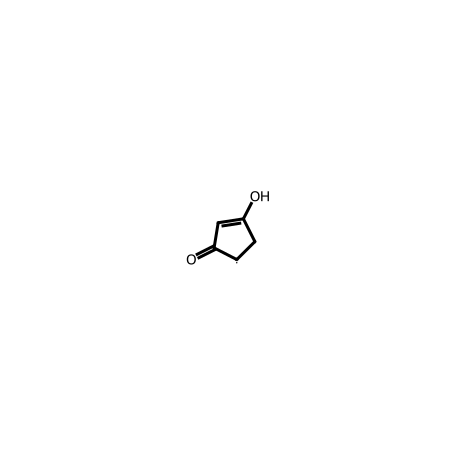 O=C1[CH]CC(O)=C1